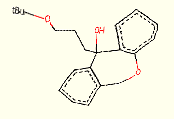 CC(C)(C)OCCCC1(O)c2ccccc2COc2ccccc21